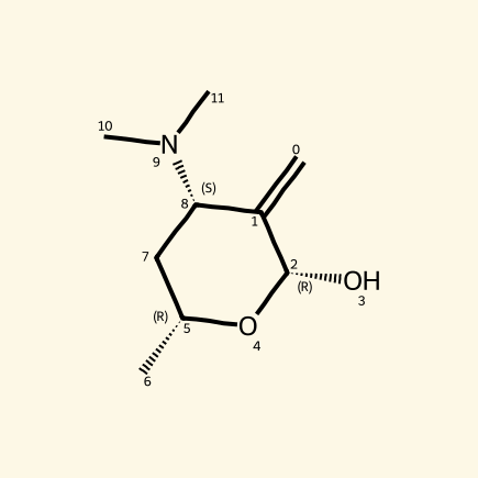 C=C1[C@H](O)O[C@H](C)C[C@@H]1N(C)C